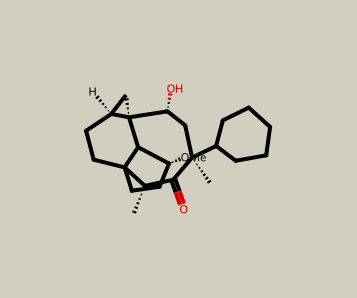 CO[C@@H]1CCC23CC[C@H]4C[C@@]4(C12)[C@H](O)C[C@@](C)(C1CCCCC1)C(=O)[C@@H]3C